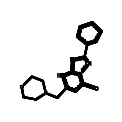 O=c1cc(CN2CCOCC2)[nH]c2nc(-c3ccccc3)nn12